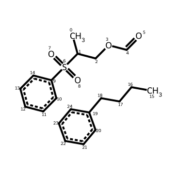 CC(COC=O)S(=O)(=O)c1ccccc1.CCCCc1ccccc1